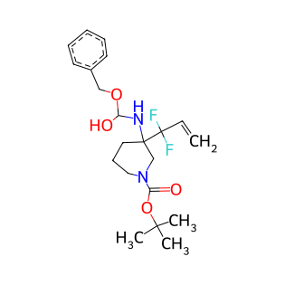 C=CC(F)(F)C1(NC(O)OCc2ccccc2)CCCN(C(=O)OC(C)(C)C)C1